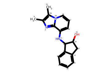 Cc1nc2c(NC3c4ccccc4CC3O)cccn2c1C